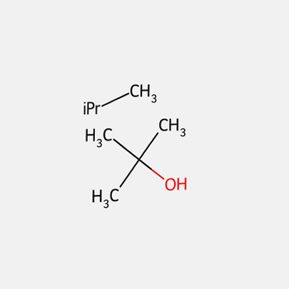 CC(C)(C)O.CC(C)C